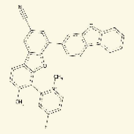 Cc1ccc2c(oc3c(-c4ccc5c(c4)oc4ccccc45)cc(C#N)cc32)c1-c1cc(F)cc[n+]1C